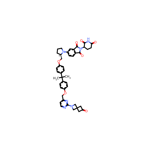 CC(C)(c1ccc(OCc2ccnc(N3CC4(CC(=O)C4)C3)n2)cc1)c1ccc(OC[C@H]2CCCN2c2ccc3c(c2)C(=O)N(C2CCC(=O)NC2=O)C3=O)cc1